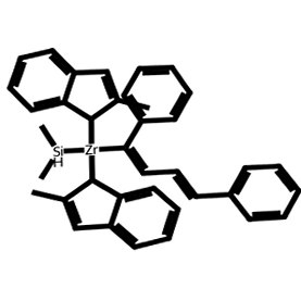 CC1=Cc2ccccc2[CH]1[Zr]([C](=CC=Cc1ccccc1)c1ccccc1)([CH]1C(C)=Cc2ccccc21)[SiH](C)C